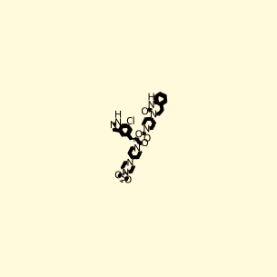 CS(=O)(=O)N1CCN(C2CCN(C(=O)[C@@H](Cc3cc(Cl)c4[nH]ncc4c3)OC(=O)N3CCC(N4CCc5ccccc5NC4=O)CC3)CC2)CC1